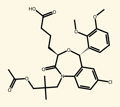 COc1cccc([C@H]2O[C@H](CCCC(=O)O)C(=O)N(CC(C)(C)COC(C)=O)c3ccc(Cl)cc32)c1OC